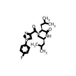 CC(C)C[C@H]1CN(C(=O)c2cn(-c3ccc(F)cc3)cn2)[C@@H](CC(C)C)C(=O)N1